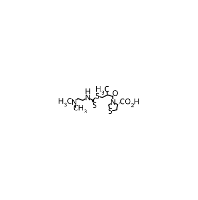 C[C@H](CSC(=S)NCCN(C)C)C(=O)N1CSC[C@H]1C(=O)O